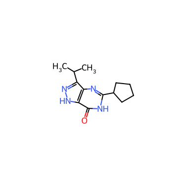 CC(C)c1n[nH]c2c(=O)[nH]c(C3CCCC3)nc12